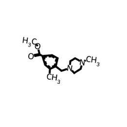 COC(=O)c1ccc(CN2CCN(C)CC2)c(C)c1